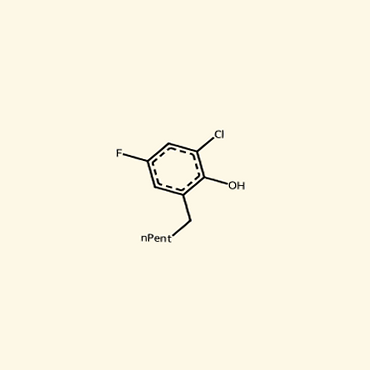 CCCCCCc1cc(F)cc(Cl)c1O